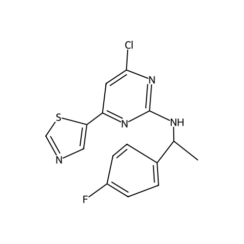 CC(Nc1nc(Cl)cc(-c2cncs2)n1)c1ccc(F)cc1